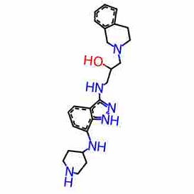 OC(CNc1n[nH]c2c(NC3CCNCC3)cccc12)CN1CCc2ccccc2C1